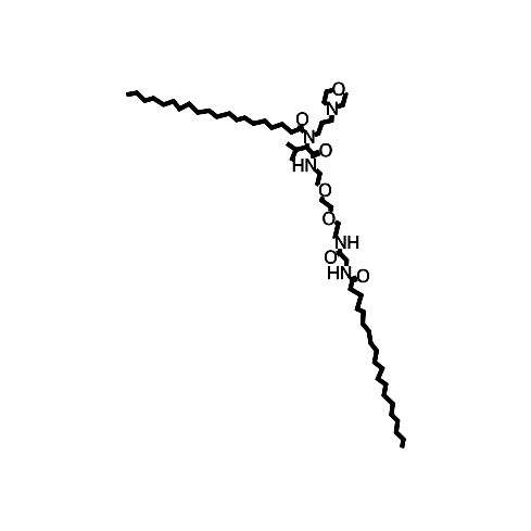 CCCCCCCCCCCCCCCCCCCC(=O)NCC(=O)NCCOCCOCCNC(=O)C(C(C)C)N(CCCN1CCOCC1)C(=O)CCCCCCCCCCCCCCCCCCC